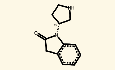 O=C1Cc2ccccc2N1[C@@H]1CCNC1